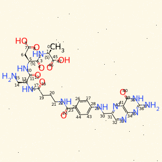 C[C@H](NC(=O)[C@H](CC(=O)O)NC(=O)[C@H](CN)NC(=O)CCCNC(=O)c1ccc(NCc2cnc3nc(N)[nH]c(=O)c3n2)cc1)C(=O)O